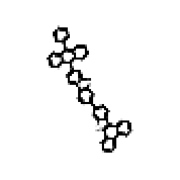 c1ccc(-c2c3ccccc3c(-c3ccc4c(c3)oc3cc(-c5ccc6c(c5)oc5c7ccccc7c7ccccc7c65)ccc34)c3ccccc23)cc1